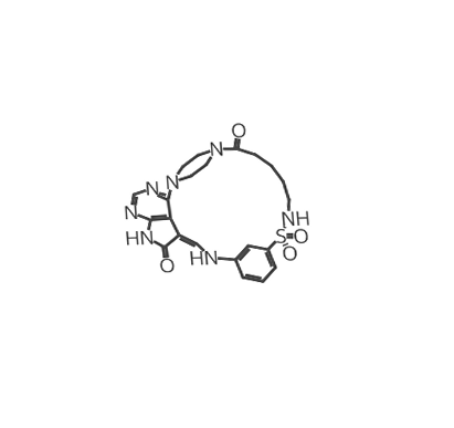 O=C1Nc2ncnc3c2/C1=C/Nc1cccc(c1)S(=O)(=O)NCCCCC(=O)N1CCN3CC1